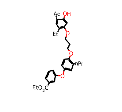 CCCc1cc(Oc2cccc(C(=O)OCC)c2)ccc1OCCCOc1cc(O)c(C(C)=O)cc1CC